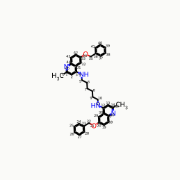 Cc1cc(NCCCCCCNc2cc(C)nc3ccc(OCc4ccccc4)cc23)c2cc(OCc3ccccc3)ccc2n1